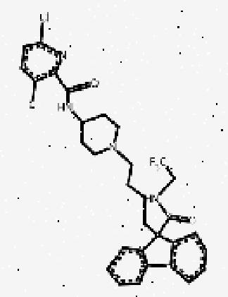 O=C(NC1CCN(CCCCC2(C(=O)NCC(F)(F)F)c3ccccc3-c3ccccc32)CC1)c1nc(Cl)ccc1Cl